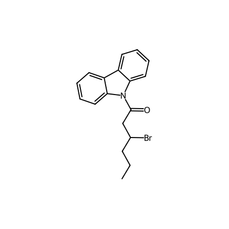 CCCC(Br)CC(=O)n1c2ccccc2c2ccccc21